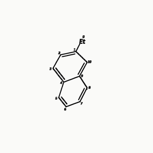 CCc1ccc2ccc[c]c2c1